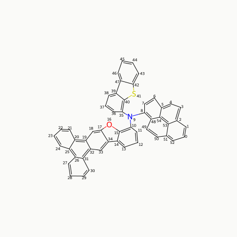 c1cc2ccc3ccc(N(c4cccc5c4oc4cc6c7ccccc7c7ccccc7c6cc45)c4cccc5c4sc4ccccc45)c4ccc(c1)c2c34